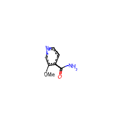 COc1[c]nccc1C(N)=O